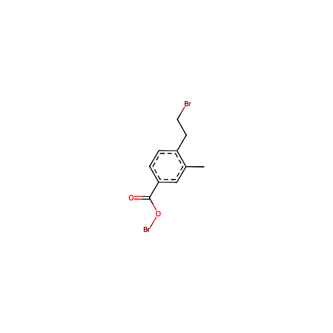 Cc1cc(C(=O)OBr)ccc1CCBr